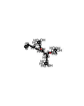 O=C(CCCCC(=O)ON1C(=O)CCC1=O)NCCCC[C@H](NC(=O)CNC(=O)CN(CC(=O)NCCO[C@H]1O[C@H](CO)[C@@H](O)[C@H](O)[C@H]1O)CC(=O)NCCO[C@H]1O[C@H](CO)[C@@H](O)[C@H](O)[C@H]1O)C(=O)NCCO[C@H]1O[C@H](CO)[C@@H](O)[C@H](O)[C@@H]1O